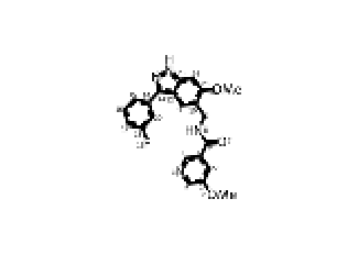 COc1cncc(C(=O)NCc2cc3c(-c4cccc(F)c4)n[nH]c3cc2OC)c1